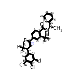 CN(NC(=O)c1ccc(/C(F)=C/C(c2cc(Cl)c(Cl)c(Cl)c2)C(F)(F)F)cc1C(F)(F)F)c1ccccn1